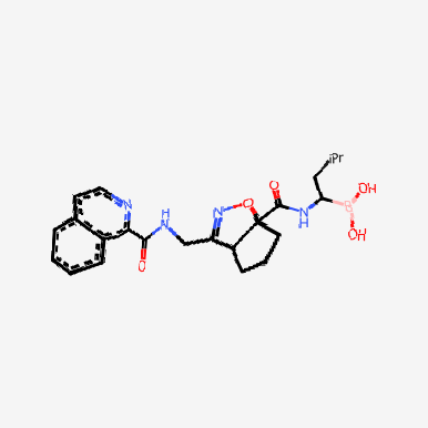 CC(C)CC(NC(=O)C12CCCC1C(CNC(=O)c1nccc3ccccc13)=NO2)B(O)O